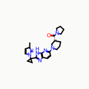 Cc1ccn(C2(c3nc4ccc(N5CCC[C@@H](C(=O)N6CCCC6)C5)nc4[nH]3)CC2)n1